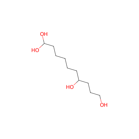 OCCCC(O)CCCCCC(O)O